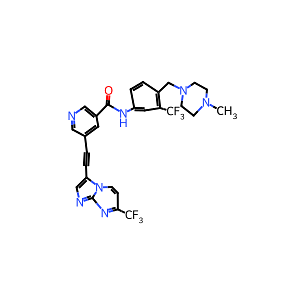 CN1CCN(Cc2ccc(NC(=O)c3cncc(C#Cc4cnc5nc(C(F)(F)F)ccn45)c3)cc2C(F)(F)F)CC1